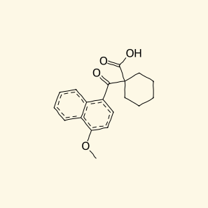 COc1ccc(C(=O)C2(C(=O)O)CCCCC2)c2ccccc12